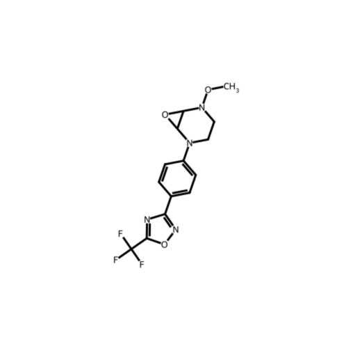 CON1CCN(c2ccc(-c3noc(C(F)(F)F)n3)cc2)C2OC21